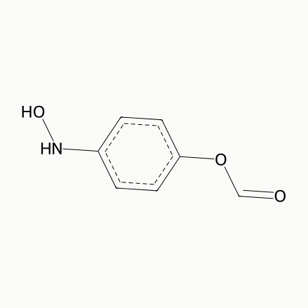 O=COc1ccc(NO)cc1